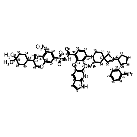 COc1nc2[nH]ccc2cc1Oc1cc(N2CCC3(CC2)CN(C2CCC[C@@H]2c2ccccc2C(C)C)C3)ccc1C(=O)NS(=O)(=O)c1cc2c(c([N+](=O)[O-])c1)NC(C1CCC(C)(C)CC1)CO2